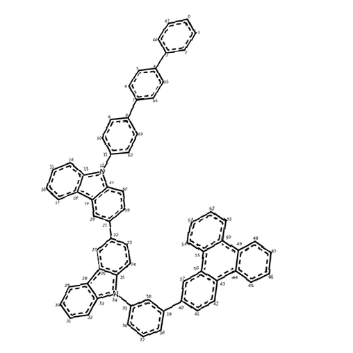 c1ccc(-c2ccc(-c3ccc(-n4c5ccccc5c5cc(-c6ccc7c(c6)c6ccccc6n7-c6cccc(-c7ccc8c9ccccc9c9ccccc9c8c7)c6)ccc54)cc3)cc2)cc1